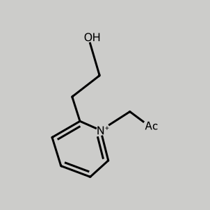 CC(=O)C[n+]1ccccc1CCO